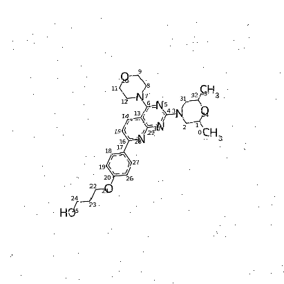 CC1CN(c2nc(N3CCOCC3)c3ccc(-c4ccc(OCCCO)cc4)nc3n2)CC(C)O1